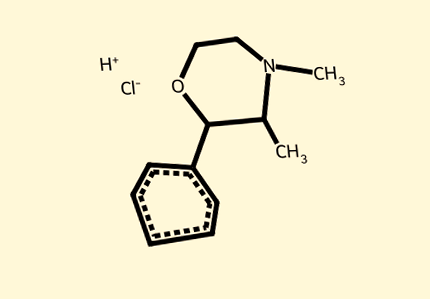 CC1C(c2ccccc2)OCCN1C.[Cl-].[H+]